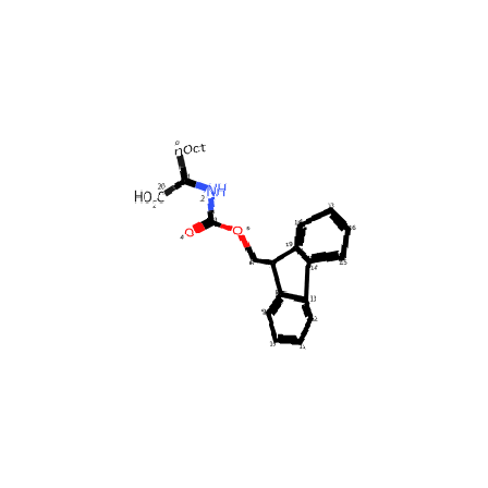 CCCCCCCCC(NC(=O)OCC1c2ccccc2-c2ccccc21)C(=O)O